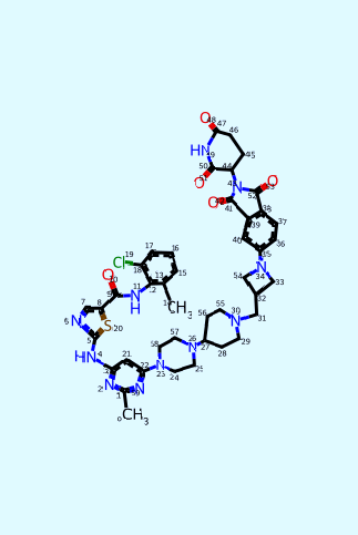 Cc1nc(Nc2ncc(C(=O)Nc3c(C)cccc3Cl)s2)cc(N2CCN(C3CCN(CC4CN(c5ccc6c(c5)C(=O)N(C5CCC(=O)NC5=O)C6=O)C4)CC3)CC2)n1